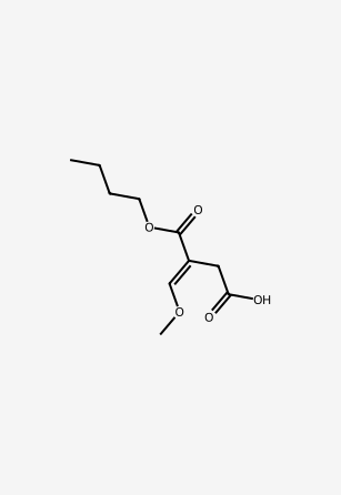 CCCCOC(=O)C(=COC)CC(=O)O